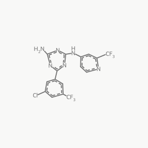 Nc1nc(Nc2ccnc(C(F)(F)F)c2)nc(-c2cc(Cl)cc(C(F)(F)F)c2)n1